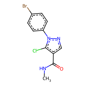 CNC(=O)c1cnn(-c2ccc(Br)cc2)c1Cl